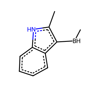 CBc1c(C)[nH]c2ccccc12